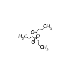 CCCC(=O)OP(=O)(CCC)CCC